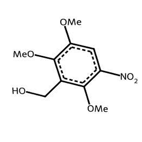 COc1cc([N+](=O)[O-])c(OC)c(CO)c1OC